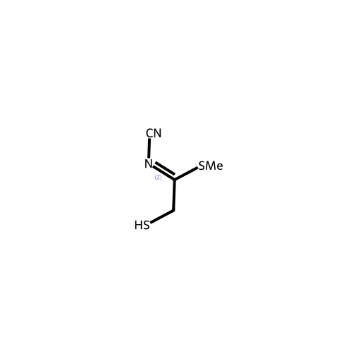 CS/C(CS)=N\C#N